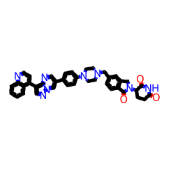 O=C1CCC(N2Cc3cc(CN4CCN(c5ccc(-c6cnc7c(-c8ccnc9ccccc89)cnn7c6)cc5)CC4)ccc3C2=O)C(=O)N1